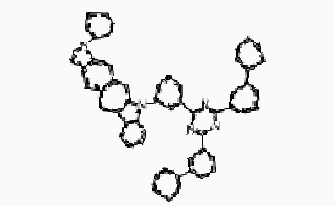 c1ccc(-c2cccc(-c3nc(-c4cccc(-c5ccccc5)c4)nc(-c4cccc(-n5c6ccccc6c6cc7cc8ccn(-c9ccccc9)c8cc7cc65)c4)n3)c2)cc1